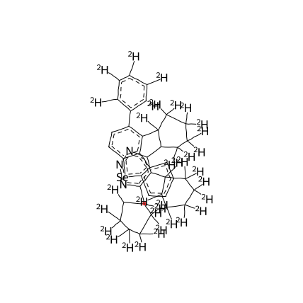 [2H]c1c([2H])c([2H])c(-c2ccc3[se]c4ccccc4c3c2C2([2H])C(c3nnnc(C4([2H])C([2H])C([2H])([2H])C([2H])([2H])C([2H])([2H])C4([2H])[2H])c3C3([2H])C([2H])C([2H])([2H])C([2H])([2H])C([2H])([2H])C3([2H])[2H])C([2H])([2H])C([2H])([2H])C([2H])([2H])C2([2H])[2H])c([2H])c1[2H]